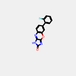 O=c1nc2oc3cc(-c4ccccc4F)ccc3nc-2[nH]1